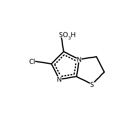 O=S(=O)(O)c1c(Cl)nc2n1CCS2